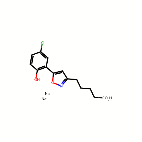 O=C(O)CCCCc1cc(-c2cc(Cl)ccc2O)on1.[Na].[Na]